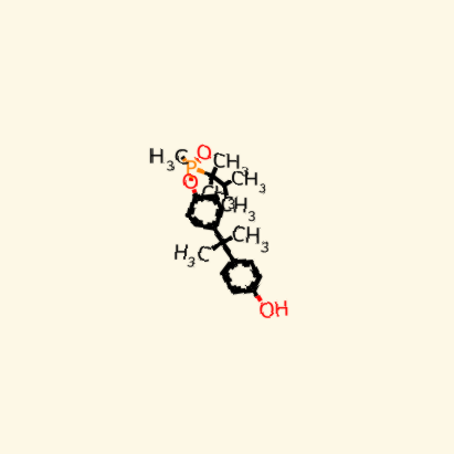 CC(C)C(C)(C)P(C)(=O)Oc1ccc(C(C)(C)c2ccc(O)cc2)cc1